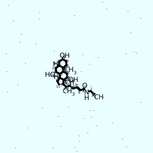 C#CCNC(=O)/C=C/CC[C@@H](C)[C@H]1CC[C@H]2C3C(C[C@H](O)[C@]12C)[C@@]1(C)CC[C@@H](O)C[C@H]1C[C@H]3O